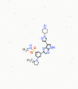 CNS(=O)(=O)c1cc(-c2cnc3[nH]cc(-c4cnn(C5CCNCC5)c4)c3n2)cc(N2CCC[C@H]2C)c1